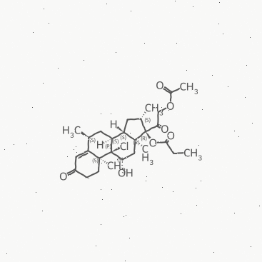 CCC(=O)O[C@]1(C(=O)COC(C)=O)[C@@H](C)C[C@H]2[C@@H]3C[C@H](C)C4=CC(=O)CC[C@]4(C)[C@@]3(Cl)[C@@H](O)C[C@@]21C